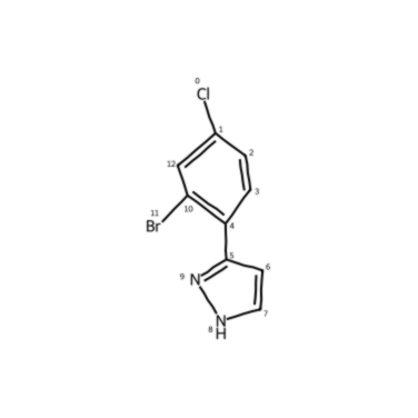 Clc1ccc(-c2cc[nH]n2)c(Br)c1